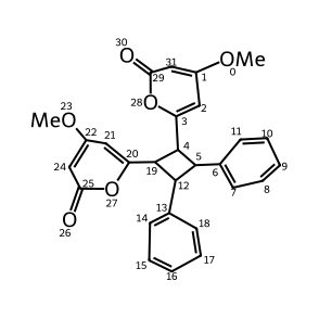 COc1cc(C2C(c3ccccc3)C(c3ccccc3)C2c2cc(OC)cc(=O)o2)oc(=O)c1